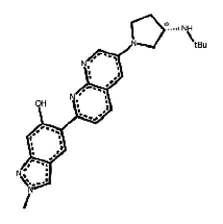 Cn1cc2cc(-c3ccc4cc(N5CC[C@H](NC(C)(C)C)C5)cnc4n3)c(O)cc2n1